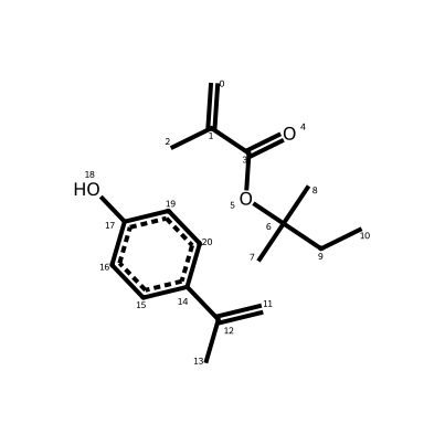 C=C(C)C(=O)OC(C)(C)CC.C=C(C)c1ccc(O)cc1